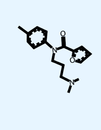 Cc1ccc(N(CCCN(C)C)C(=O)c2ccco2)cc1